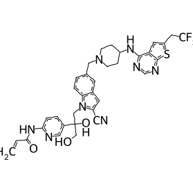 C=CC(=O)Nc1ccc(C(O)(CO)Cn2c(C#N)cc3cc(CN4CCC(Nc5ncnc6sc(CC(F)(F)F)cc56)CC4)ccc32)cn1